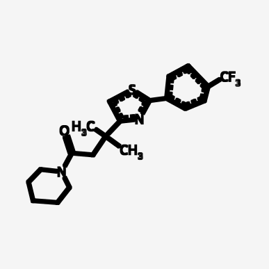 CC(C)(CC(=O)N1CCCCC1)c1csc(-c2ccc(C(F)(F)F)cc2)n1